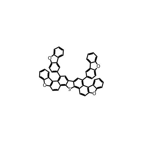 c1ccc2c(c1)oc1ccc(-c3cc4c5cc(-c6ccc7oc8ccccc8c7c6)c6c(ccc7oc8ccccc8c76)c5sc4c4ccc5oc6ccccc6c5c34)cc12